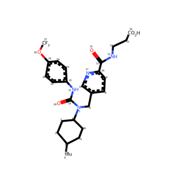 CC(C)(C)C1CCC(N(Cc2ccc(C(=O)NCCC(=O)O)nc2)C(=O)Nc2ccc(OC(F)(F)F)cc2)CC1